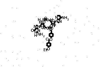 B[P@]1(=O)OC[C@H]2O[C@@H](n3cnc4c(N)ccnc43)[C@H](F)[C@@H]2O[P@](=O)(SCc2ccc(OC(=O)c3ccc(OCC)cc3)cc2)OC[C@H]2O[C@@H](n3cnc4c(=O)[nH]c(N)nc43)[C@H](F)[C@@H]2O1